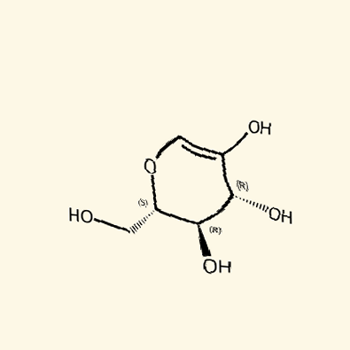 OC[C@@H]1OC=C(O)[C@H](O)[C@H]1O